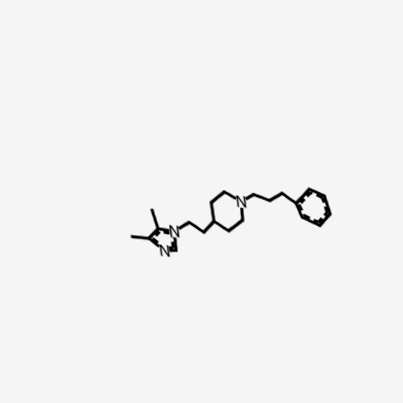 Cc1ncn(CCC2CCN(CCCc3ccccc3)CC2)c1C